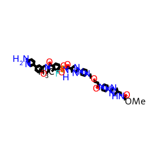 COCC(=O)NCc1cnc(N2CCN(C(=O)CCOCCN3CCN(c4ncc(C(=O)NS(=O)(=O)c5ccc(C(=O)N6CCOc7ccc(-c8ccc(N)nc8)cc7C6)c(C)c5F)cn4)CC3)CC2)nc1